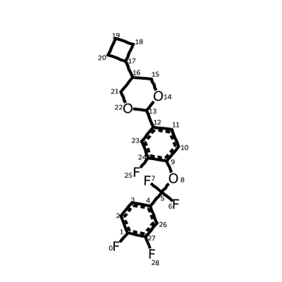 Fc1ccc(C(F)(F)Oc2ccc(C3OCC(C4CCC4)CO3)cc2F)cc1F